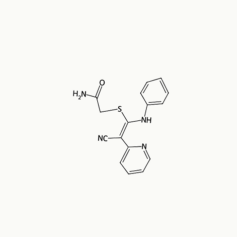 N#C/C(=C(/Nc1ccccc1)SCC(N)=O)c1ccccn1